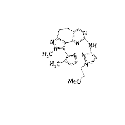 COCCn1ccc(Nc2ncc3c(n2)-c2c(nn(C)c2-c2sccc2C)CC3)n1